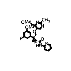 COCc1nc(C)ncc1OC[C@@]1(C2C=C(OC)C=C(F)C2)C[C@H]1C(=O)Nc1ccccn1